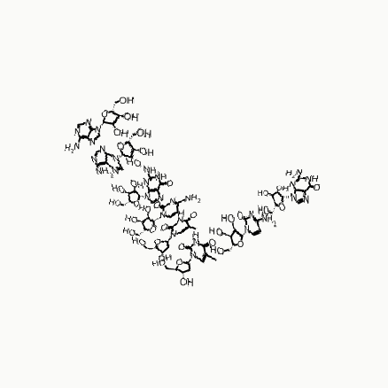 Cc1cn([C@H]2C[C@H](O)[C@@H](CO)O2)c(=O)[nH]c1=O.Cc1cn([C@H]2C[C@H](O)[C@@H](CO)O2)c(=O)[nH]c1=O.Nc1ccn([C@@H]2O[C@H](CO)[C@@H](O)[C@H]2O)c(=O)n1.Nc1ccn([C@@H]2O[C@H](CO)[C@@H](O)[C@H]2O)c(=O)n1.Nc1nc2c(ncn2[C@@H]2O[C@H](CO)[C@@H](O)[C@H]2O)c(=O)[nH]1.Nc1nc2c(ncn2[C@@H]2O[C@H](CO)[C@@H](O)[C@H]2O)c(=O)[nH]1.Nc1ncnc2c1ncn2[C@@H]1O[C@H](CO)[C@@H](O)[C@H]1O.Nc1ncnc2c1ncn2[C@@H]1O[C@H](CO)[C@@H](O)[C@H]1O